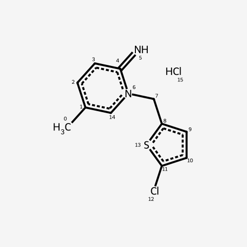 Cc1ccc(=N)n(Cc2ccc(Cl)s2)c1.Cl